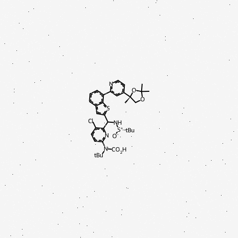 CC1(C)OC[C@](C)(c2ccnc(-c3cccc4cc(C(N[S@@+]([O-])C(C)(C)C)c5nc(N(C(=O)O)C(C)(C)C)ccc5Cl)sc34)c2)O1